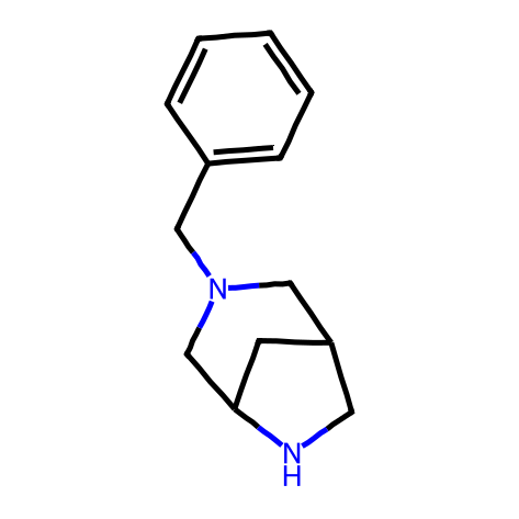 c1ccc(CN2CC3CNC(C3)C2)cc1